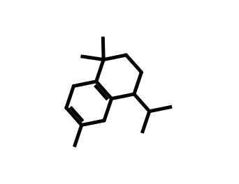 CC1=CCC2=C(C1)C(C(C)C)CCC2(C)C